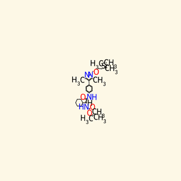 [2H]C(NC(=O)OC(C)(C)C)(C(=O)Nc1ccc(-c2c(C)nn(COCC[Si](C)(C)C)c2C)cc1)C1CCCCC1